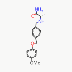 COc1ccc(OCc2ccc(CN[C@@H](C)C(N)=O)cc2)cc1